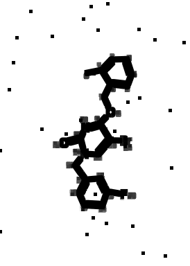 Cc1ccccc1COc1nc(=O)n(Cc2cccc(F)c2)cc1Br